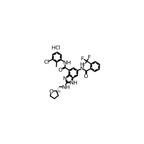 Cc1c(Cl)cccc1NC(=O)c1cc(NC(=O)c2ccccc2C(F)(F)F)cc2[nH]c(NC[C@@H]3CCCO3)nc12.Cl